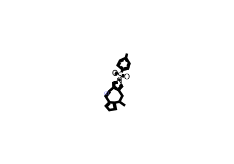 Cc1ccc(S(=O)(=O)n2cc3c(c2)CC(C)C2=CCC=C2/C=C\3)cc1